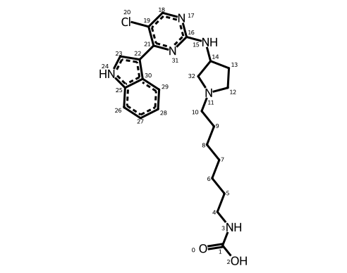 O=C(O)NCCCCCCCN1CCC(Nc2ncc(Cl)c(-c3c[nH]c4ccccc34)n2)C1